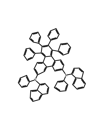 c1ccc(-c2c(-c3ccccc3)c(-c3ccccc3)c3c4ccc(N(c5ccccc5)c5cccc6ccccc56)cc4c4cc(N(c5ccccc5)c5cccc6ccccc56)ccc4c3c2-c2ccccc2)cc1